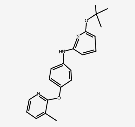 Cc1cccnc1Oc1ccc(Nc2cccc(OC(C)(C)C)n2)cc1